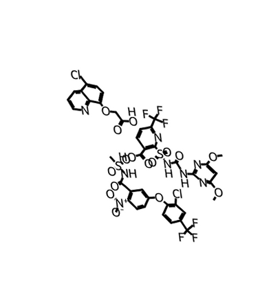 COc1cc(OC)nc(NC(=O)NS(=O)(=O)c2nc(C(F)(F)F)ccc2C(=O)O)n1.CS(=O)(=O)NC(=O)c1cc(Oc2ccc(C(F)(F)F)cc2Cl)ccc1[N+](=O)[O-].O=C(O)COc1ccc(Cl)c2cccnc12